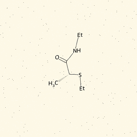 CCNC(=O)[C@@H](C)SCC